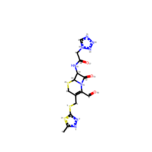 Cc1nnc(SCC2=C(C=O)N3C(=O)C(NC(=O)Cn4cnnn4)C3SC2)s1